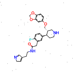 O=C(Cc1cc([C@@H]2CCNC[C@H]2COc2ccc3c(c2)OCO3)ccc1F)NCCC1=CCN=C1